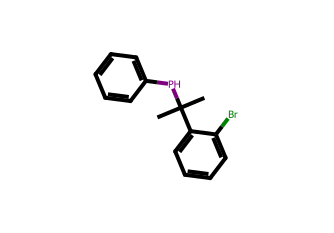 CC(C)(Pc1ccccc1)c1ccccc1Br